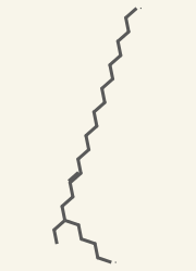 [CH2]CCCCCCCCCCCCC/C=C/CCC(CC)CCCC[CH2]